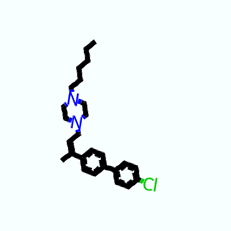 CCCCCCN1CCN(CC=C(C)c2ccc(-c3ccc(Cl)cc3)cc2)CC1